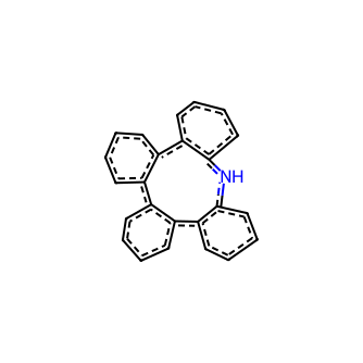 c1ccc2c(c1)[nH]c1ccccc1c1ccccc1c1ccccc21